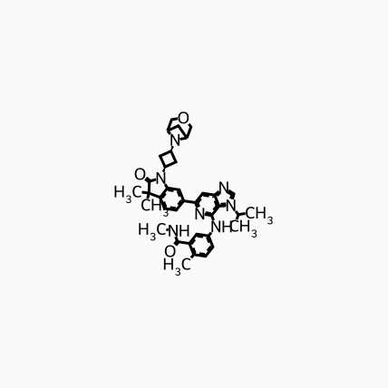 CNC(=O)c1cc(Nc2nc(-c3ccc4c(c3)N([C@H]3C[C@@H](N5C6COCC5C6)C3)C(=O)C4(C)C)cc3ncn(C(C)C)c23)ccc1C